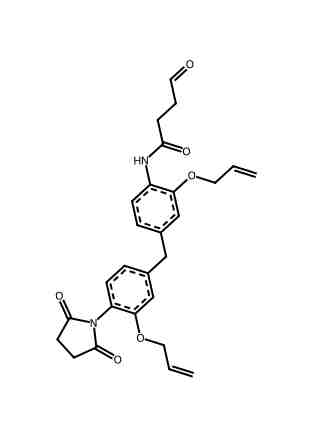 C=CCOc1cc(Cc2ccc(N3C(=O)CCC3=O)c(OCC=C)c2)ccc1NC(=O)CCC=O